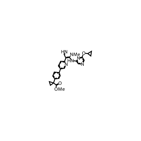 CN/C(Nc1cncc(OC2CC2)n1)=C(\C=N)c1ccc(-c2ccc(C3(C(=O)OC)CC3)cc2)cn1